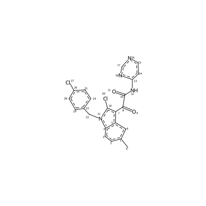 Cc1ccc2c(c1)c(C(=O)C(=O)Nc1ccncn1)c(Cl)n2Cc1ccc(Cl)cc1